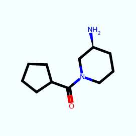 N[C@H]1CCCN(C(=O)C2CCCC2)C1